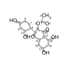 CC(=O)Oc1c(-c2ccc(O)cc2O)oc2cc(O)cc(O)c2c1=O